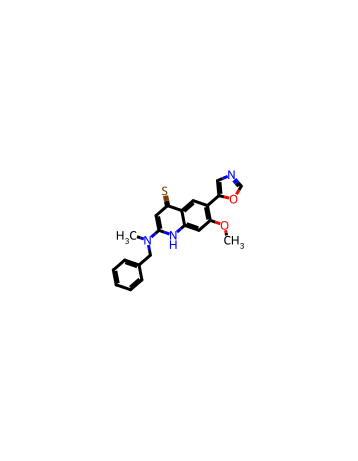 COc1cc2[nH]c(N(C)Cc3ccccc3)cc(=S)c2cc1-c1cnco1